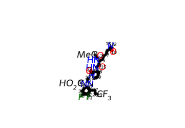 COC(=O)NC(CCC=CC(=O)N(C)C)C(=O)Nc1cccn(Cc2nc3c(CCC(F)(F)F)c(F)c(F)cc3n2C(=O)O)c1=O